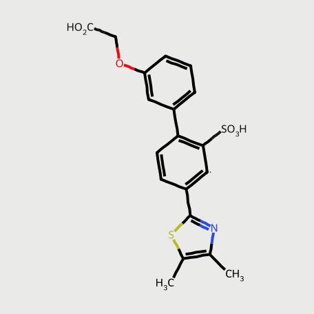 Cc1nc(-c2[c]c(S(=O)(=O)O)c(-c3cccc(OCC(=O)O)c3)cc2)sc1C